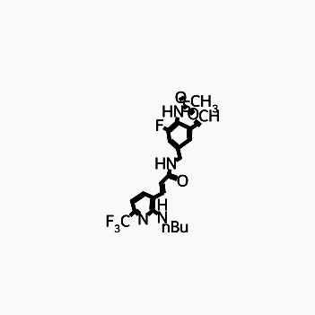 C#Cc1cc(CNC(=O)C=Cc2ccc(C(F)(F)F)nc2NCCCC)cc(F)c1NS(C)(=O)=O